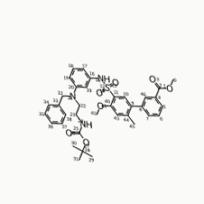 COC(=O)c1cccc(-c2cc(S(=O)(=O)Nc3cccc(N(CCNC(=O)OC(C)(C)C)Cc4ccccc4)c3)c(OC)cc2C)c1